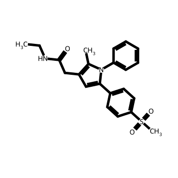 CCNC(=O)Cc1cc(-c2ccc(S(C)(=O)=O)cc2)n(-c2ccccc2)c1C